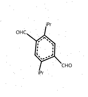 CC(C)c1cc(C=O)c(C(C)C)cc1C=O